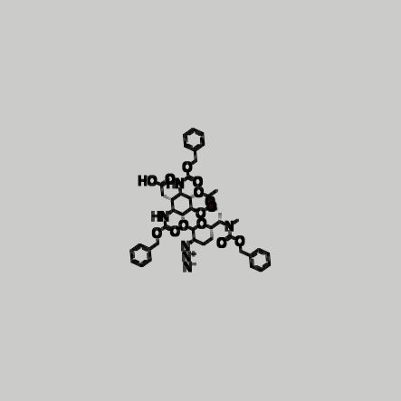 CC(=O)O[C@H]1[C@H](OC2O[C@H]([C@H](C)N(C)C(=O)OCc3ccccc3)CC[C@H]2N=[N+]=[N-])[C@@H](NC(=O)OCc2ccccc2)[C@H](CC(=O)O)[C@@H](NC(=O)OCc2ccccc2)[C@@H]1OC(C)=O